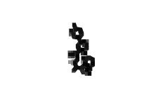 Cc1ccc(-c2cc(NC[C@@H](C)C(C)c3cnn4cccnc34)ncn2)cn1